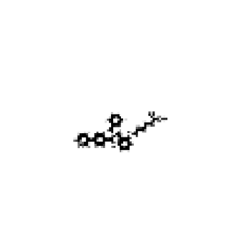 [2H]C(c1ccccc1OCCCCCC(=O)O)N(Cc1ccccc1)C(=O)c1ccc(-c2cccnc2)cc1